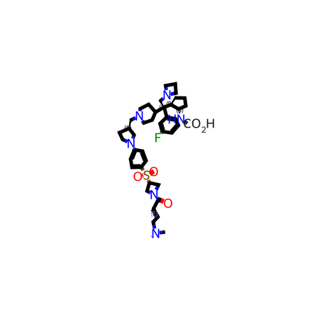 CN(C)C/C=C/C(=O)N1CC(S(=O)(=O)c2ccc(N3CC[C@@H](CN4CCC([C@@](CN5CCC5)(c5cccc(F)c5)[C@H]5CCC[C@@H]5NC(=O)O)CC4)C3)cc2)C1